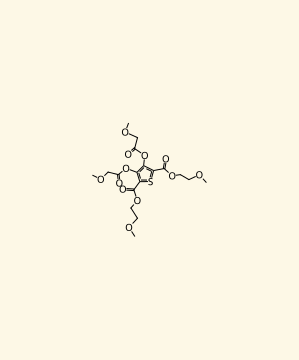 COCCOC(=O)c1sc(C(=O)OCCOC)c(OC(=O)COC)c1OC(=O)COC